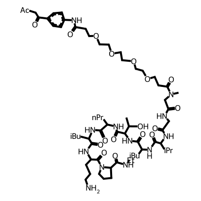 CCCC(NC(=O)C(NC(=O)C(NC(=O)C(NC(=O)CNC(=O)CN(C)C(=O)CCOCCOCCOCCOCCC(=O)Nc1ccc(C(=O)CC(C)=O)cc1)C(C)C)C(C)CC)C(C)O)C(=O)NC(C(=O)NC(CCCN)C(=O)N1CCCC1C(=O)NCC)C(C)CC